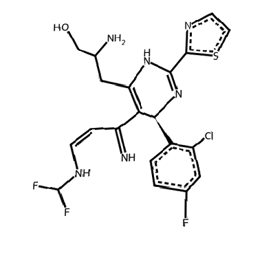 N=C(/C=C\NC(F)F)C1=C(CC(N)CO)NC(c2nccs2)=N[C@H]1c1ccc(F)cc1Cl